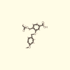 COc1ccc(CSc2cc(C(=O)O)ccc2COC(C)=O)cc1